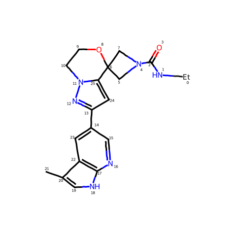 CCNC(=O)N1CC2(C1)OCCn1nc(-c3cnc4[nH]cc(C)c4c3)cc12